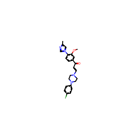 COc1cc(C(=O)/C=C/N2CCN(c3ccc(F)cc3)CC2)ccc1-n1cnc(C)c1